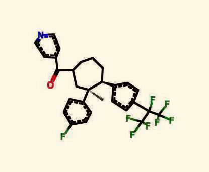 C[C@]1(c2ccc(F)cc2)CC(C(=O)c2ccncc2)CCC[C@H]1c1ccc(C(F)(C(F)(F)F)C(F)(F)F)cc1